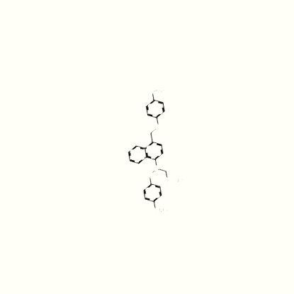 CCOC(=O)CN(Sc1ccc(OC)cc1)c1ccc(CSc2ccc(OC)cc2)c2ccccc12